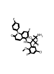 COc1c(F)cc(Cl)cc1C(Nc1cc(F)cc2c1ccc(=O)n2-c1ccc(F)cc1)C(O)(C(C)(C)N)C(F)(F)F